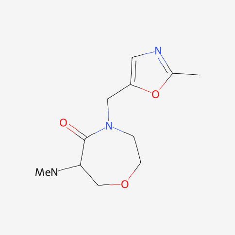 CNC1COCCN(Cc2cnc(C)o2)C1=O